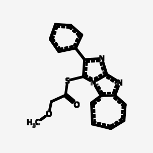 COCC(=O)Sc1c(-c2ccccc2)nc2nc3cccccc3n12